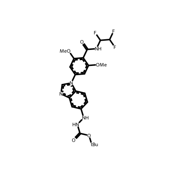 COc1cc(-n2cnc3cc(NNC(=O)OC(C)(C)C)ccc32)cc(OC)c1C(=O)NC(F)C(F)F